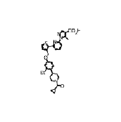 CCc1cc(OCc2ccsc2-c2cccc(-n3ncc(C(=O)O)c3C)n2)ccc1C1CCN(C(=O)C2CC2)CC1